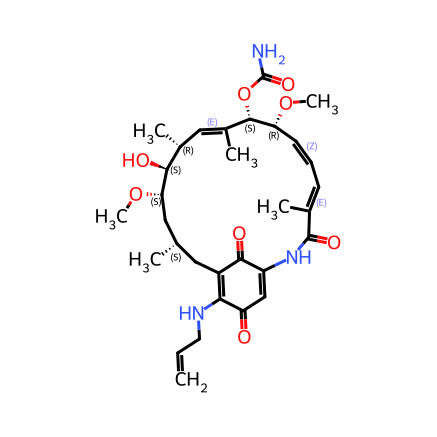 C=CCNC1=C2C[C@H](C)C[C@H](OC)[C@@H](O)[C@H](C)/C=C(\C)[C@H](OC(N)=O)[C@H](OC)/C=C\C=C(/C)C(=O)NC(=CC1=O)C2=O